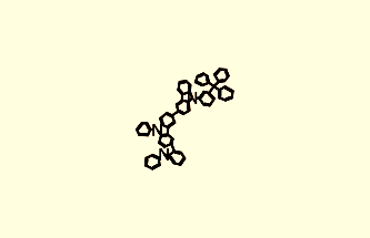 c1ccc(-n2c3ccccc3c3cc4c5cc(-c6ccc7c(c6)c6ccccc6n7-c6cccc(C(c7ccccc7)(c7ccccc7)c7ccccc7)c6)ccc5n(-c5ccccc5)c4cc32)cc1